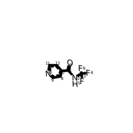 O=C(NC(F)(F)F)c1ccncc1